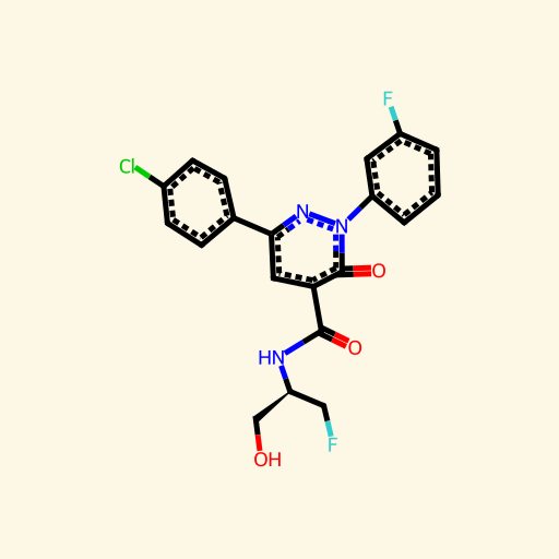 O=C(N[C@H](CO)CF)c1cc(-c2ccc(Cl)cc2)nn(-c2cccc(F)c2)c1=O